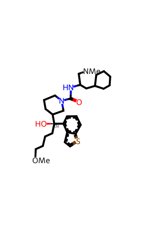 CNCC(CC1CCCCC1)NC(=O)N1CCCC([C@@](O)(CCCCOC)c2cccc3sccc23)C1